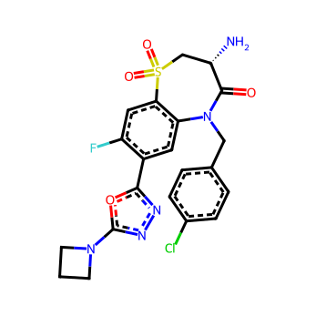 N[C@H]1CS(=O)(=O)c2cc(F)c(-c3nnc(N4CCC4)o3)cc2N(Cc2ccc(Cl)cc2)C1=O